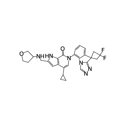 Cn1cnnc1C1(c2cccc(-n3cc(C4CC4)c4cc(CNC5CCOC5)[nH]c4c3=O)c2)CC(F)(F)C1